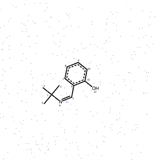 CC(C)(C)/N=C\c1ccccc1O